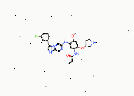 C=CC(=O)Nc1cc(Nc2cn3c(-c4cccc(F)c4)cnc3cn2)c(OC)cc1OC1CCN(C)C1